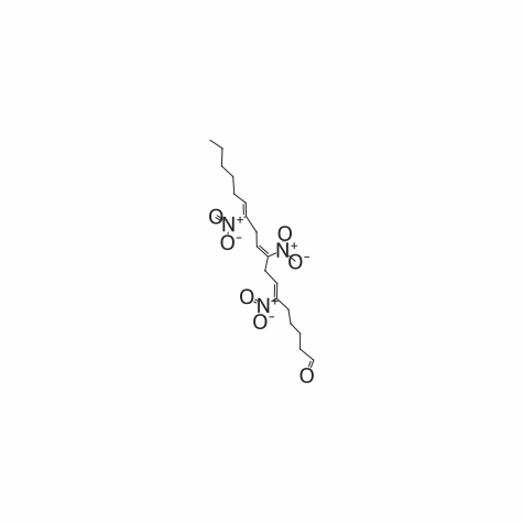 CCCCCC=C(CC=C(CC=C(CCCCC=O)[N+](=O)[O-])[N+](=O)[O-])[N+](=O)[O-]